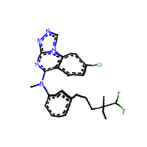 CN(c1cccc(CCC(C)(C)C(F)F)c1)c1nc2nncn2c2cc(Cl)ccc12